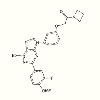 CCc1nc(-c2ccc(OC)c(F)c2)nc2c1ccn2-c1cccc(OCC(=O)N2CCC2)c1